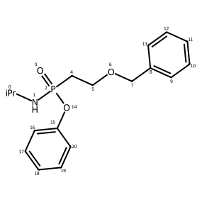 CC(C)NP(=O)(CCOCc1ccccc1)Oc1ccccc1